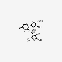 O=c1ccn([C@@H]2O[C@H](CO)[C@@H](O)[C@H]2O)c(=O)[nH]1.OC[C@H]1OC(O)[C@H](O)[C@@H]1O